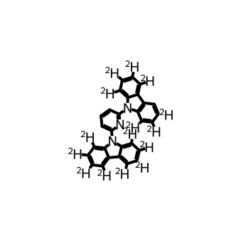 [2H]c1cc2c3c([2H])c([2H])c([2H])c([2H])c3n(-c3cccc(-n4c5c([2H])c([2H])c([2H])c([2H])c5c5c([2H])c([2H])c([2H])c([2H])c54)n3)c2c([2H])c1[2H]